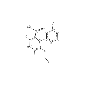 CCSC1=C(C)NC(C)=C(C(=O)O)C1c1cccc(Cl)c1